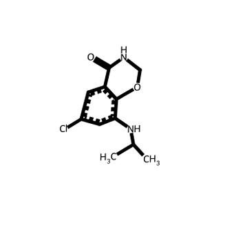 CC(C)Nc1cc(Cl)cc2c1OCNC2=O